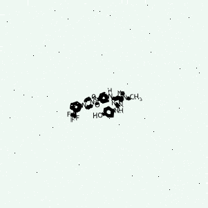 CCn1cnc2c(Nc3ccc(S(=O)(=O)N4CCN(c5cccc(C(F)(F)F)c5)CC4)cc3)nc(NC3CCC(O)CC3)nc21